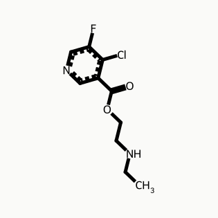 CCNCCOC(=O)c1cncc(F)c1Cl